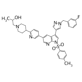 Cc1ccc(S(=O)(=O)n2cc(-c3cnn(Cc4cccc(F)c4)c3)c3cc(-c4ccc(C5CCN(CC(C)O)CC5)nc4)cnc32)cc1